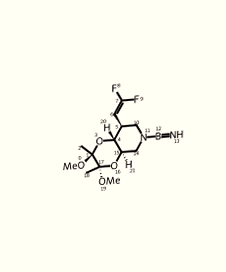 CO[C@@]1(C)O[C@@H]2[C@@H](C=C(F)F)CN(B=N)C[C@H]2O[C@]1(C)OC